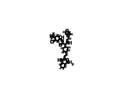 Nc1ccccc1NC(=O)/C=C/c1ccc([C@H](NCCN2CC3CC2CO3)C(=O)Nc2ccc(C(F)(F)F)c(Cl)c2)cc1